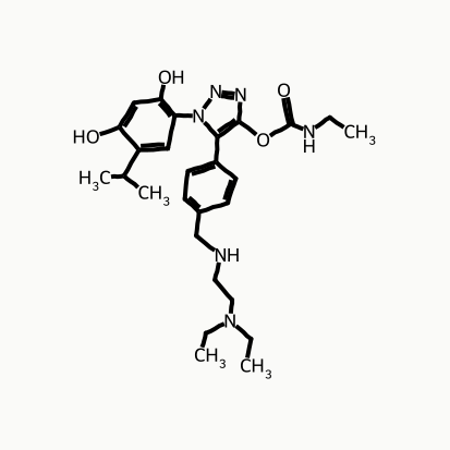 CCNC(=O)Oc1nnn(-c2cc(C(C)C)c(O)cc2O)c1-c1ccc(CNCCN(CC)CC)cc1